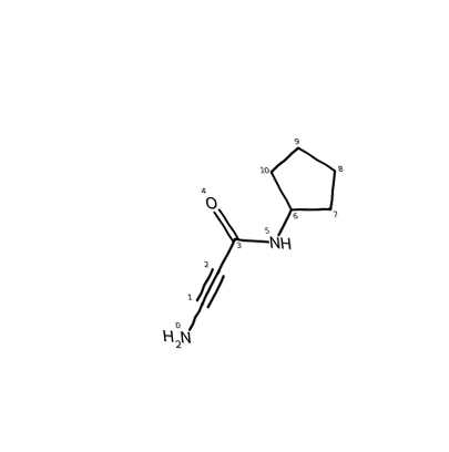 NC#CC(=O)NC1CCCC1